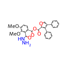 COc1ccc(C(=O)OC(=O)c2occ(-c3ccccc3)c2-c2ccccc2)c(C(=O)NN)c1OC